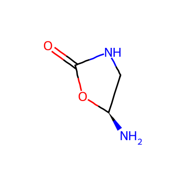 N[C@@H]1CNC(=O)O1